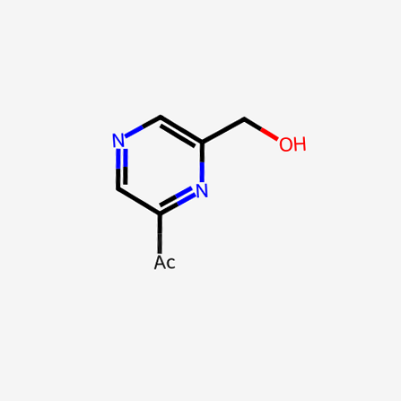 CC(=O)c1cncc(CO)n1